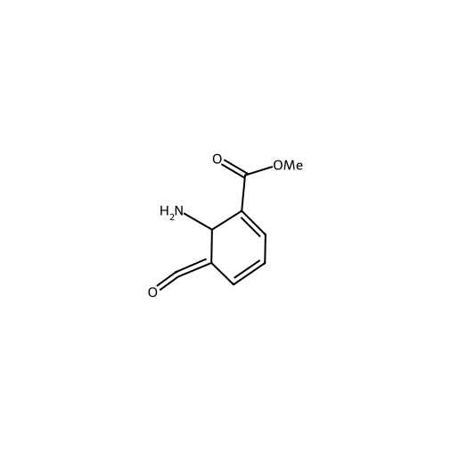 COC(=O)C1=CC=CC(=C=O)C1N